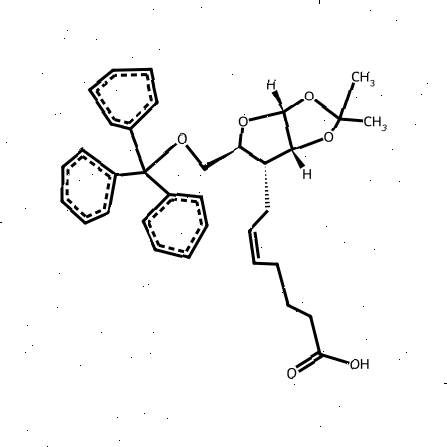 CC1(C)O[C@H]2O[C@H](COC(c3ccccc3)(c3ccccc3)c3ccccc3)[C@@H](C/C=C\CCCC(=O)O)[C@H]2O1